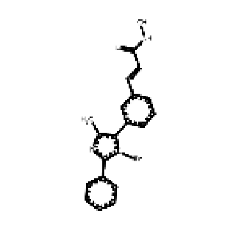 Cc1nc(-c2ccccc2)n(C(C)C)c1-c1cccc(/C=C/C(=O)NO)c1